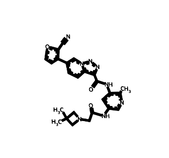 Cc1ncc(NC(=O)CN2CC(C)(C)C2)cc1NC(=O)c1nnn2cc(-c3ccoc3C#N)ccc12